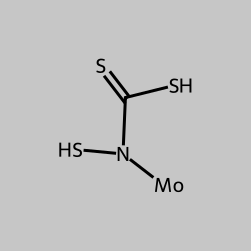 S=C(S)[N](S)[Mo]